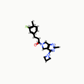 Cc1nc2c(c(N3CCC3)n1)CN(C(=O)CCc1ccc(C)c(F)c1)C2